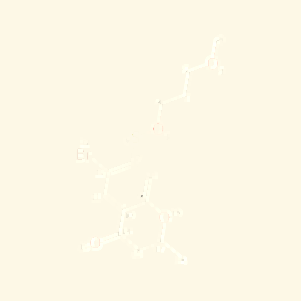 COCCCOSc1cc2c(cc1Br)C(=O)CC(C)O2